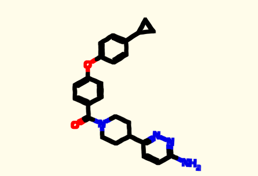 Nc1ccc(C2CCN(C(=O)c3ccc(Oc4ccc(C5CC5)cc4)cc3)CC2)nn1